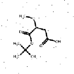 COC(CC(=O)O)C(=O)OC(C)(C)C